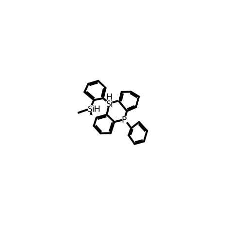 C[SiH](C)c1ccccc1[SiH](C)c1ccccc1P(c1ccccc1)c1ccccc1